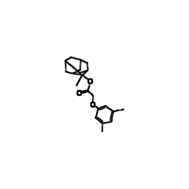 Cc1cc(C)cc(OCC(=O)OC2(C)C3CC4CC(C3)CC2C4)c1